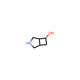 O[C@H]1CC2CNCC21